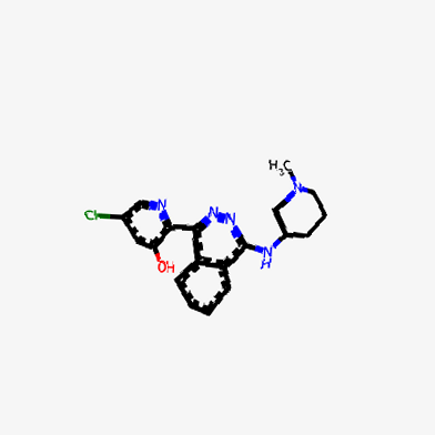 CN1CCCC(Nc2nnc(-c3ncc(Cl)cc3O)c3ccccc23)C1